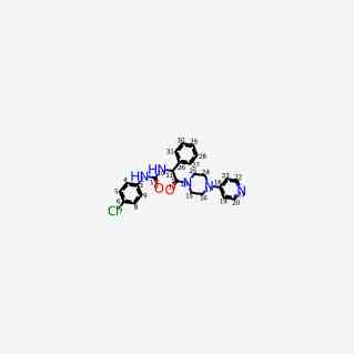 O=C(Nc1ccc(Cl)cc1)NC(C(=O)N1CCN(c2ccncc2)CC1)c1ccccc1